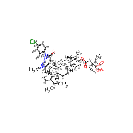 CC(C)C1=C2[C@H]3CC[C@@H]4[C@@]5(C)CC[C@H](OC(=O)CC(C)(C)C(=O)O)C(C)(C)[C@@H]5CC[C@@]4(C)[C@]3(C)CC[C@@]2(Cc2cc(=O)n(-c3ccc(Cl)cc3)n2C)CC1